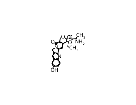 CC[C@@]1(OC(=O)C(C)N)C(=O)OCc2c1cc1n(c2=O)Cc2cc3cc(O)ccc3nc2-1